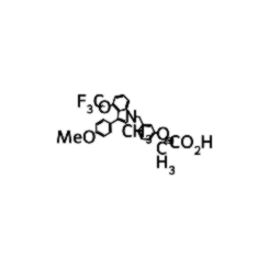 COc1ccc(-c2c(C)n(Cc3cccc(O[C@@H](C)C(=O)O)c3)c3cccc(OC(F)(F)F)c23)cc1